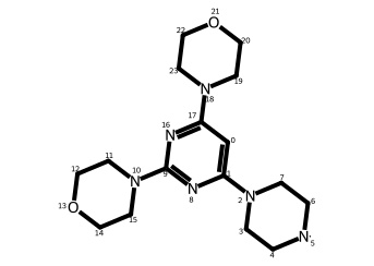 c1c(N2CC[N]CC2)nc(N2CCOCC2)nc1N1CCOCC1